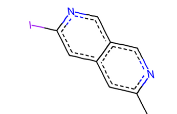 Cc1cc2cc(I)ncc2cn1